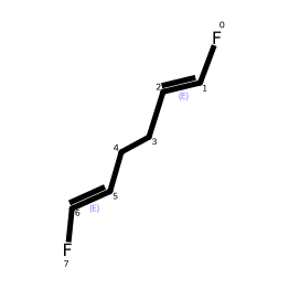 F/C=C/CC/C=C/F